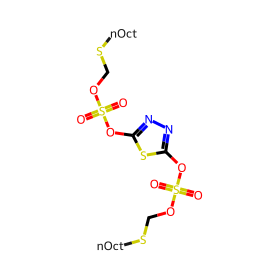 CCCCCCCCSCOS(=O)(=O)Oc1nnc(OS(=O)(=O)OCSCCCCCCCC)s1